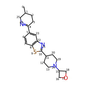 CC1CCC(c2ccc3sc(C4CCN(C5COC5)CC4)nc3c2)=NC1